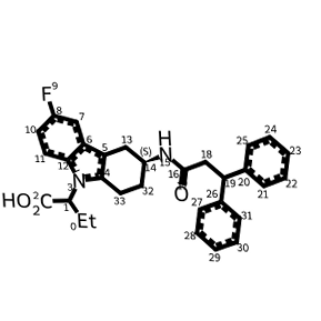 CCC(C(=O)O)n1c2c(c3cc(F)ccc31)C[C@@H](NC(=O)CC(c1ccccc1)c1ccccc1)CC2